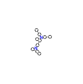 c1ccc(-c2ccc(N(c3ccc(-c4ccccc4)cc3)c3ccc(-c4ccc(-n5c6ccccc6c6cc7ccccc7cc65)cc4)c4ccccc34)cc2)cc1